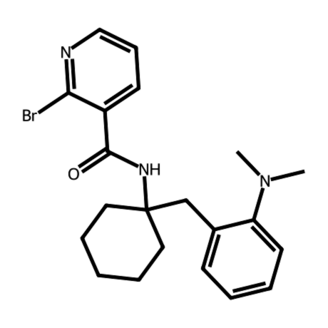 CN(C)c1ccccc1CC1(NC(=O)c2cccnc2Br)CCCCC1